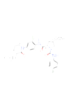 CCOC(=O)C1CCCN(c2ccc(NC(=O)[C@H]3C[C@@H](OC)CN3C(=O)Nc3ccc(Cl)cc3)c(F)c2)C1=O